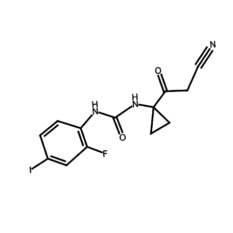 N#CCC(=O)C1(NC(=O)Nc2ccc(I)cc2F)CC1